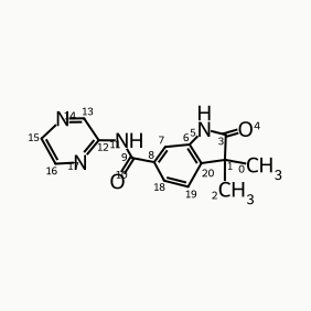 CC1(C)C(=O)Nc2cc(C(=O)Nc3cnccn3)ccc21